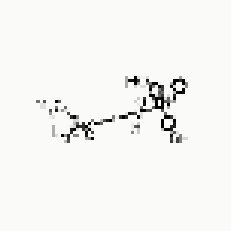 CCCCN(C)C(=O)CCCCCCCNC(=O)Cc1c(-c2ccc(O)cc2)n(Cc2ccccc2)c2ccc(O)cc12